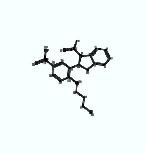 CC(=O)N1c2ccccc2SC1c1cc([N+](=O)[O-])ccc1OCCCCl